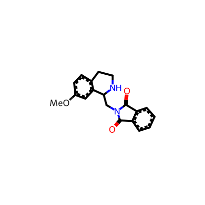 COc1ccc2c(c1)C(CN1C(=O)c3ccccc3C1=O)NCC2